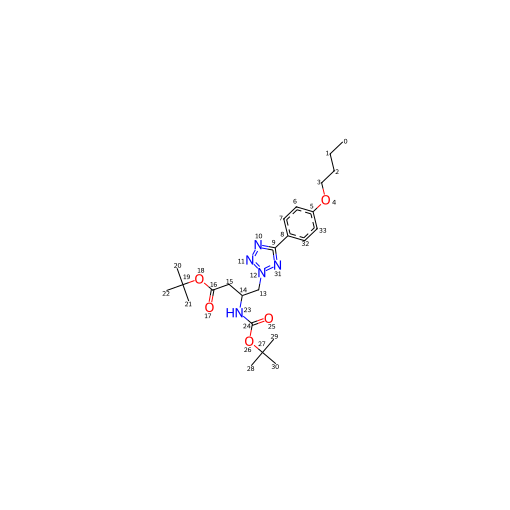 CCCCOc1ccc(-c2nnn(CC(CC(=O)OC(C)(C)C)NC(=O)OC(C)(C)C)n2)cc1